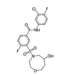 O=C(Nc1ccc(F)c(Cl)c1)c1ccc(F)c(S(=O)(=O)N2CCOCCC(O)C2)c1